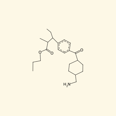 CCCOC(=O)C(C)C(CC)c1ccc(C(=O)C2CCC(CN)CC2)cc1